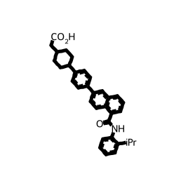 CC(C)c1ccccc1NC(=O)c1cccc2cc(-c3ccc(C4CCC(CC(=O)O)CC4)cc3)ccc12